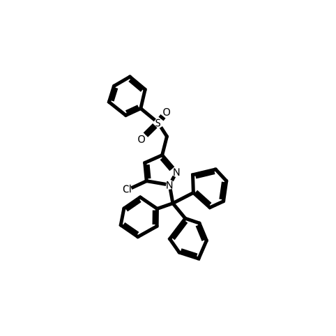 O=S(=O)(Cc1cc(Cl)n(C(c2ccccc2)(c2ccccc2)c2ccccc2)n1)c1ccccc1